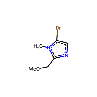 COCc1ncc(Br)n1C